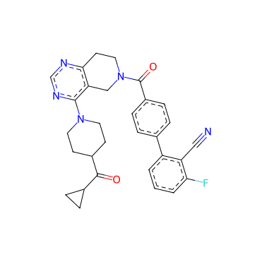 N#Cc1c(F)cccc1-c1ccc(C(=O)N2CCc3ncnc(N4CCC(C(=O)C5CC5)CC4)c3C2)cc1